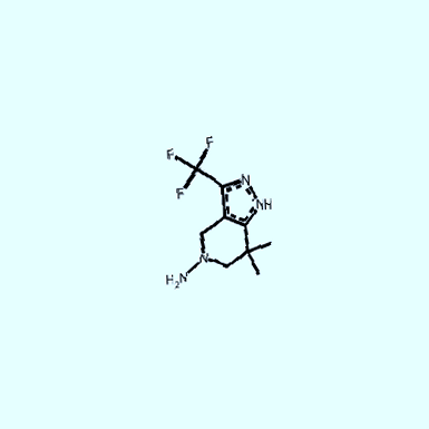 CC1(C)CN(N)Cc2c(C(F)(F)F)n[nH]c21